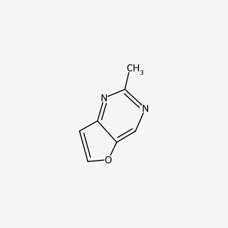 Cc1ncc2occc2n1